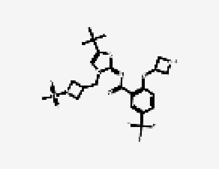 CC(C)(C)c1cn(CC2CN(S(C)(=O)=O)C2)c(=NC(=O)c2cc(C(F)(F)F)ccc2OC2CNC2)s1